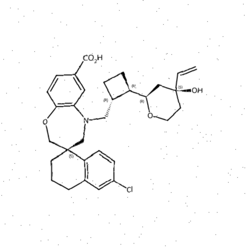 C=C[C@]1(O)CCO[C@@H]([C@@H]2CC[C@H]2CN2C[C@@]3(CCCc4cc(Cl)ccc43)COc3ccc(C(=O)O)cc32)C1